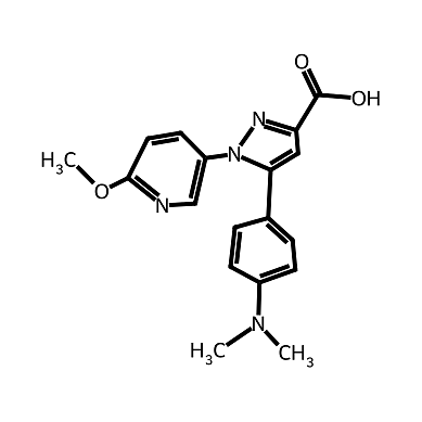 COc1ccc(-n2nc(C(=O)O)cc2-c2ccc(N(C)C)cc2)cn1